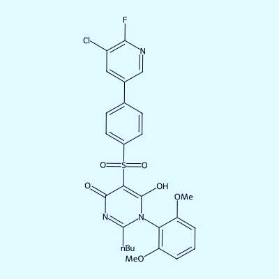 CCCCc1nc(=O)c(S(=O)(=O)c2ccc(-c3cnc(F)c(Cl)c3)cc2)c(O)n1-c1c(OC)cccc1OC